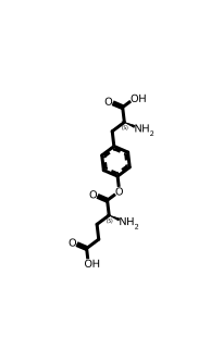 N[C@@H](Cc1ccc(OC(=O)[C@@H](N)CCC(=O)O)cc1)C(=O)O